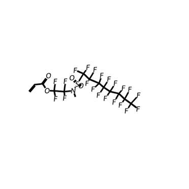 C=CC(=O)OC(F)(F)C(F)(F)N(C)S(=O)(=O)C(F)(F)C(F)(F)C(F)(F)C(F)(F)C(F)(F)C(F)(F)C(F)(F)C(F)(F)F